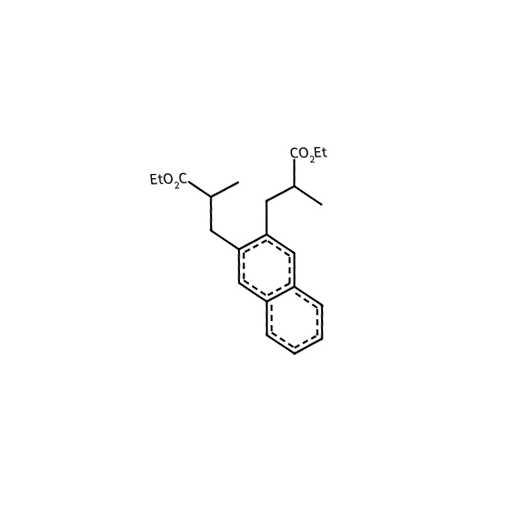 CCOC(=O)C(C)Cc1cc2ccccc2cc1CC(C)C(=O)OCC